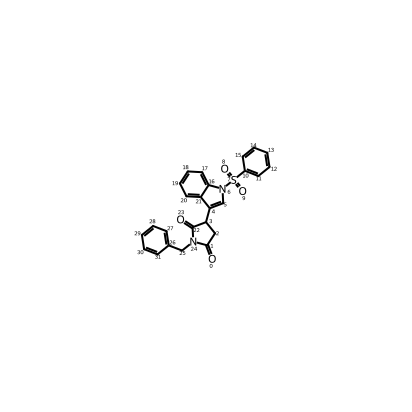 O=C1CC(c2cn(S(=O)(=O)c3ccccc3)c3ccccc23)C(=O)N1Cc1ccccc1